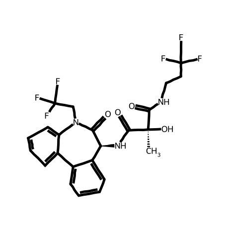 C[C@@](O)(C(=O)NCCC(F)(F)F)C(=O)N[C@@H]1C(=O)N(CC(F)(F)F)c2ccccc2-c2ccccc21